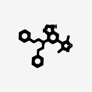 Cc1noc(C)c1-c1cc(N(CCc2ccccc2)CCc2ccccc2)c2nc[nH]c2c1